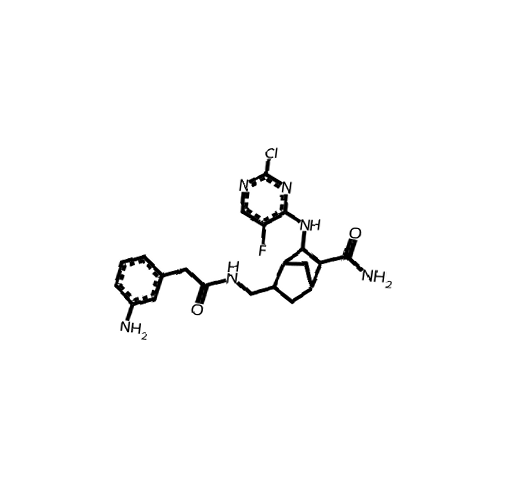 NC(=O)C1C2CC(CNC(=O)Cc3cccc(N)c3)C(C2)C1Nc1nc(Cl)ncc1F